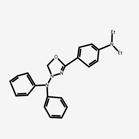 CCN(CC)c1ccc(C2=NN(N(c3ccccc3)c3ccccc3)CO2)cc1